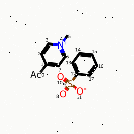 CC(=O)c1cc[n+](C)cc1.O=S(=O)([O-])c1ccccc1